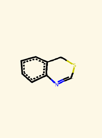 [C]1=Nc2ccccc2CS1